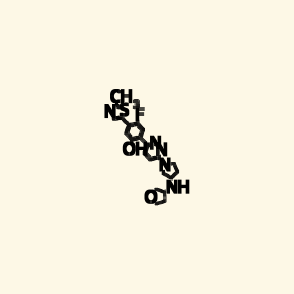 Cc1ncc(-c2cc(O)c(-c3ccc(N4CC[C@H](N[C@@H]5CCOC5)C4)nn3)cc2F)s1